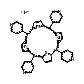 C1=Cc2nc1c(-c1ccncc1)c1ccc([nH]1)c(-c1ccncc1)c1nc(c(-c3ccncc3)c3ccc([nH]3)c2-c2ccncc2)C=C1.[Pd+2]